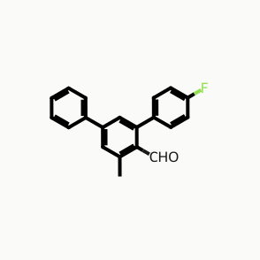 Cc1cc(-c2ccccc2)cc(-c2ccc(F)cc2)c1C=O